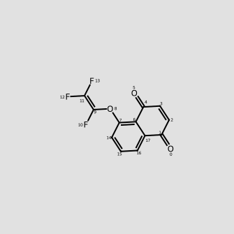 O=C1C=CC(=O)c2c(OC(F)=C(F)F)cccc21